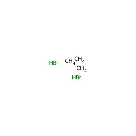 Br.Br.C.C.C